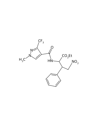 CCOC(=O)C(NC(=O)c1cn(C)nc1C(F)(F)F)C(C[N+](=O)[O-])c1ccccc1